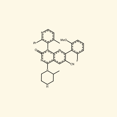 COc1cccc(F)c1-c1nc2c(cc1C#N)c(N1CCNCC1C)nc(=O)n2-c1c(C)ccnc1C(C)C